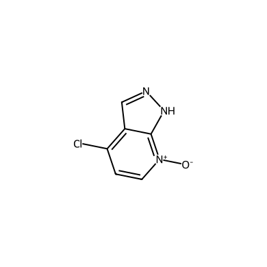 [O-][n+]1ccc(Cl)c2cn[nH]c21